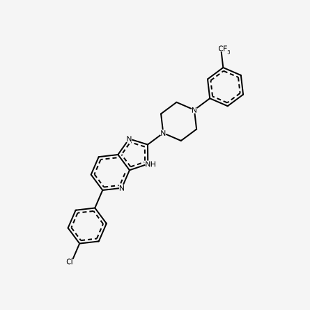 FC(F)(F)c1cccc(N2CCN(c3nc4ccc(-c5ccc(Cl)cc5)nc4[nH]3)CC2)c1